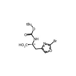 CC(C)(C)OC(=O)N[C@@H](Cc1coc(Br)n1)C(=O)O